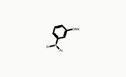 CCN(C(C)=O)c1cccc(OC)c1